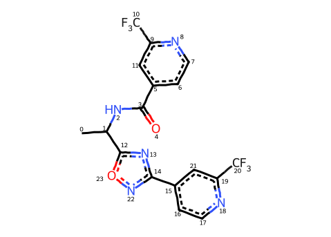 CC(NC(=O)c1ccnc(C(F)(F)F)c1)c1nc(-c2ccnc(C(F)(F)F)c2)no1